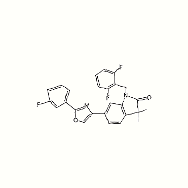 CC1(C)C(=O)N(Cc2c(F)cccc2F)c2cc(-c3coc(-c4cccc(F)c4)n3)ccc21